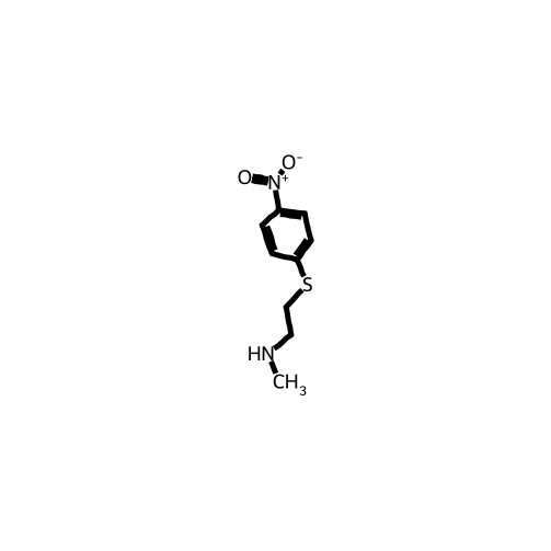 CNCCSc1ccc([N+](=O)[O-])cc1